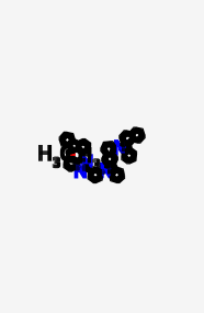 CC1(C)c2ccccc2-c2cccc(-c3nc(-c4cccc(-n5c6ccccc6c6cc7c(-n8c9ccccc9c9c%10ccccc%10ccc98)cccc7cc65)c4)nc4ccccc34)c21